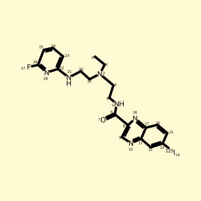 CCN(CCNC(=O)c1cnc2cc([125I])ccc2n1)CCNc1cccc(F)n1